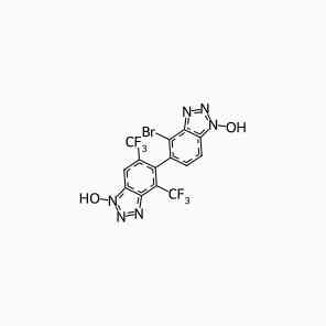 On1nnc2c(Br)c(-c3c(C(F)(F)F)cc4c(nnn4O)c3C(F)(F)F)ccc21